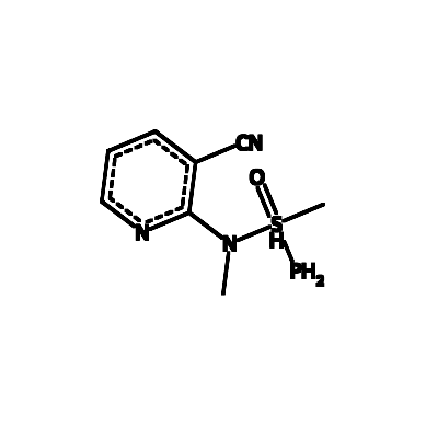 CN(c1ncccc1C#N)[SH](C)(=O)P